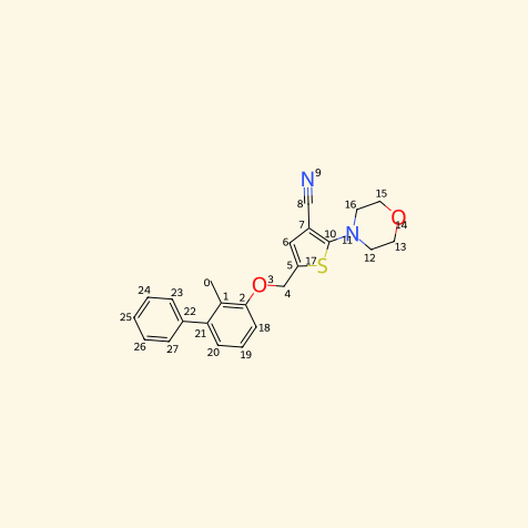 Cc1c(OCc2cc(C#N)c(N3CCOCC3)s2)cccc1-c1ccccc1